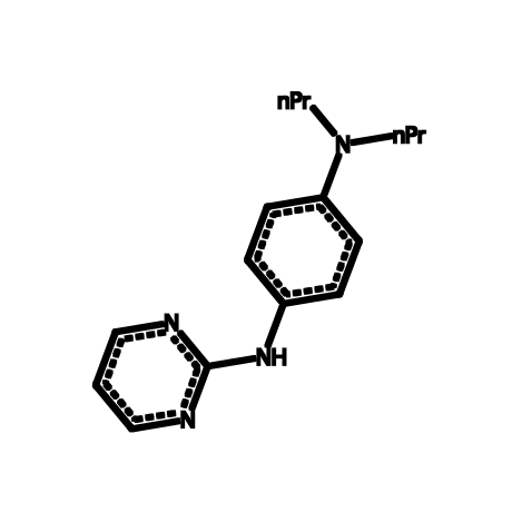 CCCN(CCC)c1ccc(Nc2ncccn2)cc1